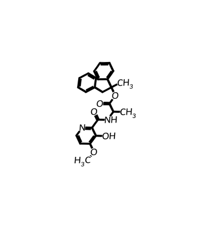 COc1ccnc(C(=O)NC(C)C(=O)OC(C)(Cc2ccccc2)c2ccccc2)c1O